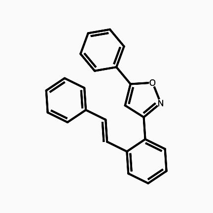 C(=Cc1ccccc1-c1cc(-c2ccccc2)on1)c1ccccc1